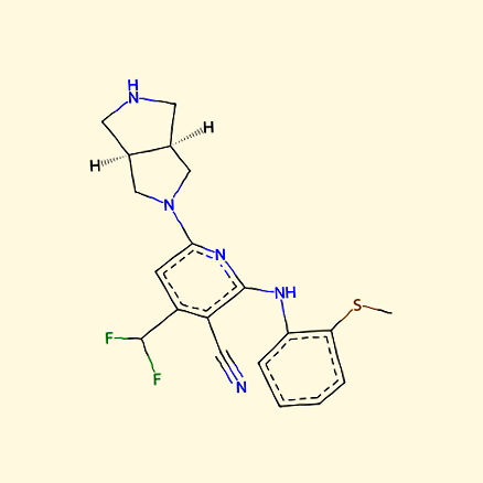 CSc1ccccc1Nc1nc(N2C[C@H]3CNC[C@H]3C2)cc(C(F)F)c1C#N